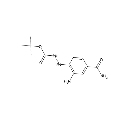 CC(C)(C)OC(=O)NNc1ccc(C(N)=O)cc1N